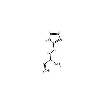 C=CC(N)SCc1ccco1